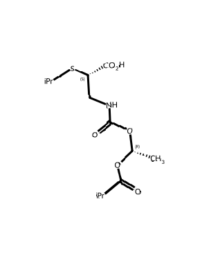 CC(C)S[C@@H](CNC(=O)O[C@H](C)OC(=O)C(C)C)C(=O)O